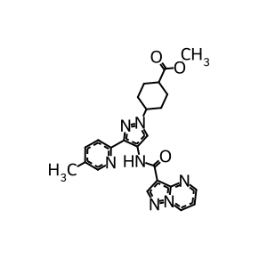 COC(=O)C1CCC(n2cc(NC(=O)c3cnn4cccnc34)c(-c3ccc(C)cn3)n2)CC1